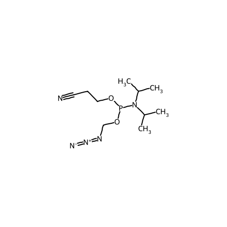 CC(C)N(C(C)C)P(OCCC#N)OCN=[N+]=[N-]